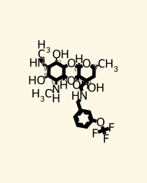 CN[C@@H]1[C@H](O)[C@H](NC)[C@H]2O[C@]3(O)[C@H](OC2[C@H]1O)O[C@H](C)C[C@@]3(O)CNCc1cccc(OC(F)(F)F)c1